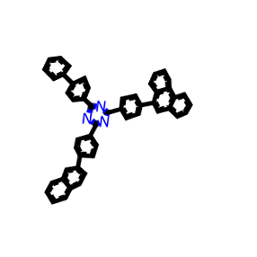 c1ccc(-c2ccc(-c3nc(-c4ccc(-c5ccc6ccccc6c5)cc4)nc(-c4ccc(-c5cc6ccccc6c6ccccc56)cc4)n3)cc2)cc1